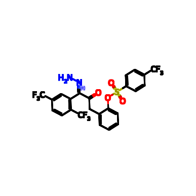 N/N=C(/C(=O)Cc1ccccc1OS(=O)(=O)c1ccc(C(F)(F)F)cc1)c1cc(C(F)(F)F)ccc1C(F)(F)F